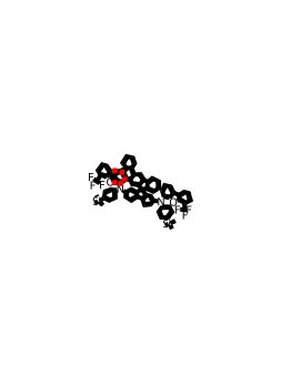 C[Si](C)(C)c1ccc(N(c2ccc3c(c2)C2(c4ccccc4-c4cc5c6ccccc6c6ccccc6c5cc42)c2cc(N(c4ccc([Si](C)(C)C)cc4)c4cccc5c4oc4c(C(F)(F)F)cccc45)ccc2-3)c2cccc3c2oc2c(C(F)(F)F)cccc23)cc1